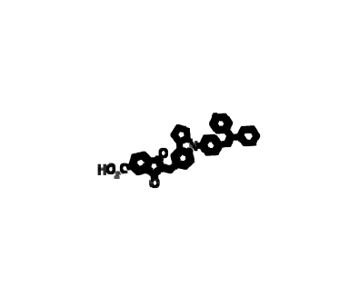 O=C(O)c1ccc2c(c1)C(=O)C(=Cc1ccc3c(c1)C1CCCC1N3c1ccc(/C=C(/C3=CCCC=C3)c3ccccc3)cc1)C2=O